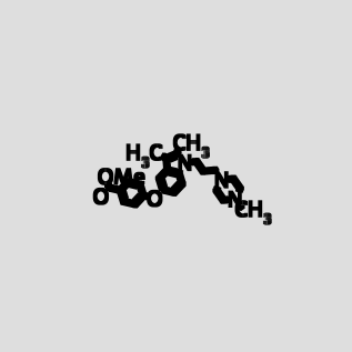 COC(=O)c1ccc(Oc2ccc3c(c2)c(C)c(C)n3CCCN2CCN(C)CC2)cc1